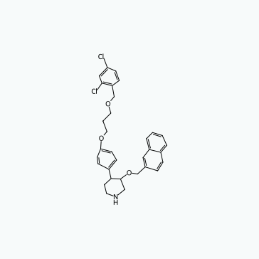 Clc1ccc(COCCCOc2ccc(C3CCNCC3OCc3ccc4ccccc4c3)cc2)c(Cl)c1